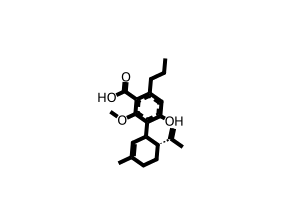 C=C(C)[C@@H]1CCC(C)=CC1c1c(O)cc(CCC)c(C(=O)O)c1OC